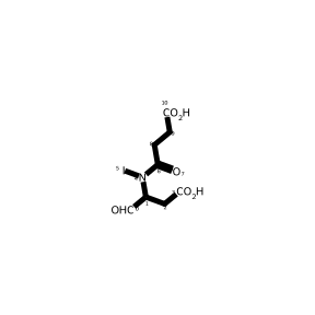 O=CC(CC(=O)O)N(I)C(=O)CCC(=O)O